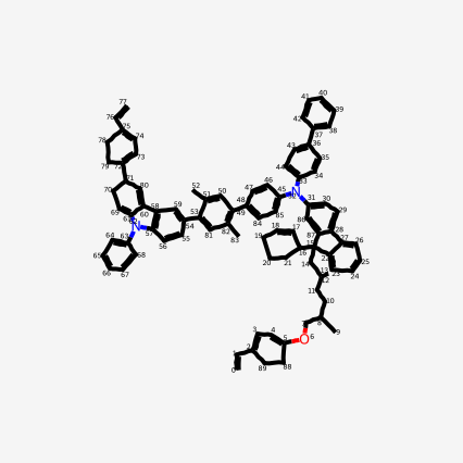 C=CC1=CC=C(OCC(C)CCC(C)CC2(C3C=CCCC3)c3ccccc3-c3ccc(N(c4ccc(-c5ccccc5)cc4)c4ccc(-c5cc(C)c(-c6ccc7c(c6)c6c(n7-c7ccccc7)=CCC(C7=CC=C(C=C)CC7)C=6)cc5C)cc4)cc32)CC1